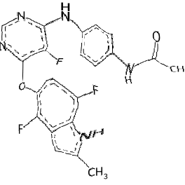 CC(=O)Nc1ccc(Nc2ncnc(Oc3cc(F)c4[nH]c(C)cc4c3F)c2F)cc1